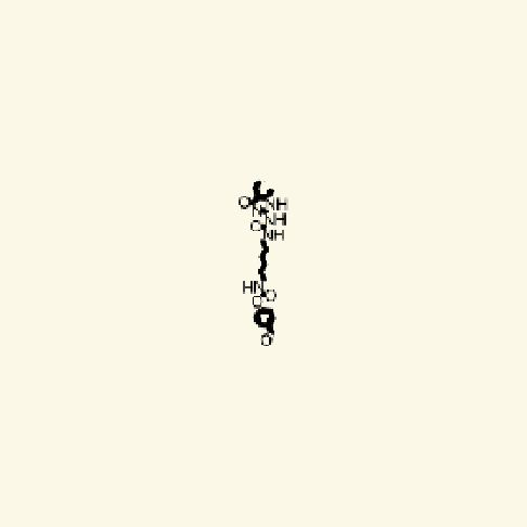 [CH2]Cc1c(C)[nH]c(NC(=O)NCCCCCCNC(=O)Oc2ccc(C=O)cc2)nc1=O